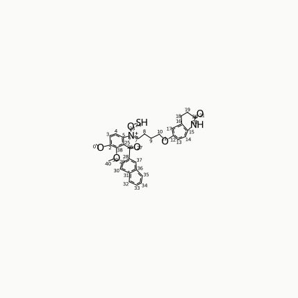 COc1ccc([N+](=CCCCOc2ccc3c(c2)CCC(=O)N3)OS)c(C(=O)c2ccc3ccccc3c2)c1OC